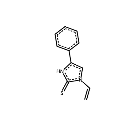 C=Cn1cc(-c2ccccc2)[nH]c1=S